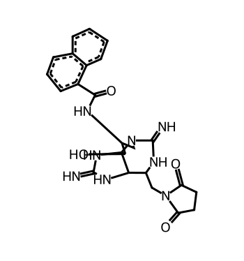 N=C1NC2C(CN3C(=O)CCC3=O)NC(=N)N3CC(NC(=O)c4cccc5ccccc45)C(O)C23N1